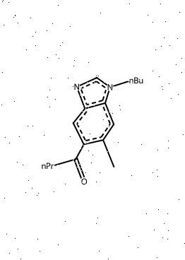 CCCCn1[c]nc2cc(C(=O)CCC)c(C)cc21